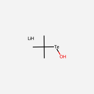 CC(C)(C)[Te]O.[LiH]